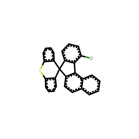 Clc1cccc2c1-c1c(ccc3ccccc13)C21c2ccccc2Sc2ccccc21